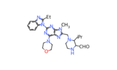 CCc1nc2ccccc2n1-c1nc(N2CCOCC2)c2nc(CN3CCNC(C=O)C3C(C)C)n(C)c2n1